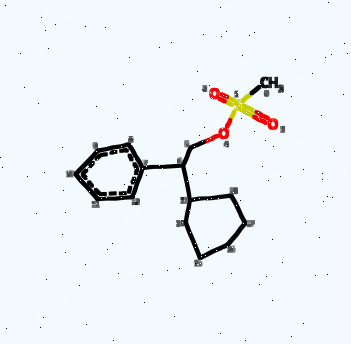 CS(=O)(=O)OCC(c1ccccc1)C1CCCCC1